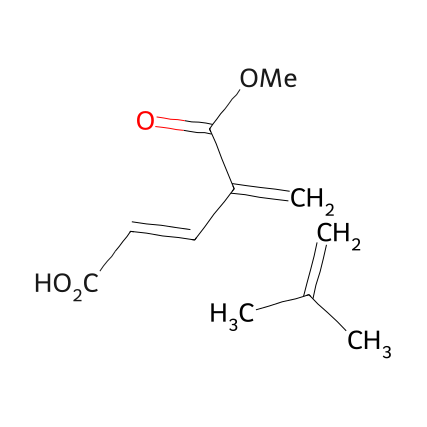 C=C(C)C.C=C(C=CC(=O)O)C(=O)OC